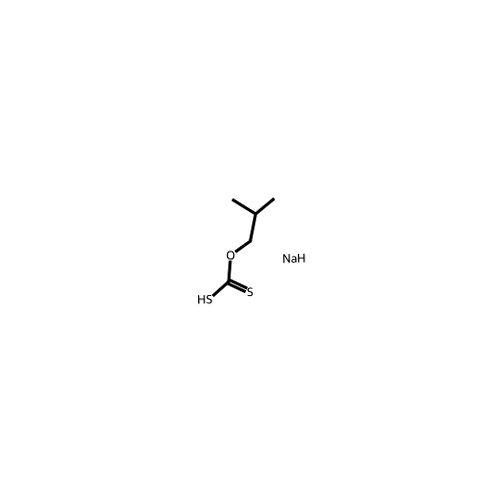 CC(C)COC(=S)S.[NaH]